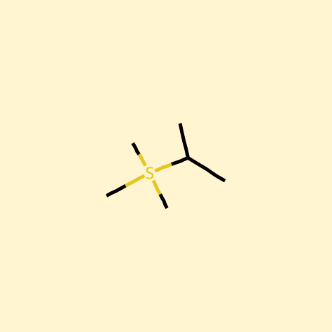 CC(C)S(C)(C)C